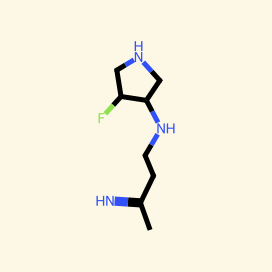 CC(=N)CCNC1CNCC1F